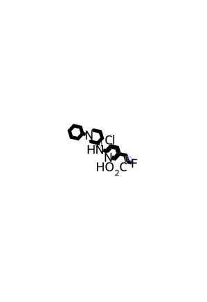 O=C(O)/C(F)=C\c1cnc(N[C@@H]2CCCN(C3CCCCC3)C2)c(Cl)c1